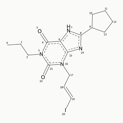 CCCn1c(=O)c2[nH]c(C3CCCC3)nc2n(C/C=C/I)c1=O